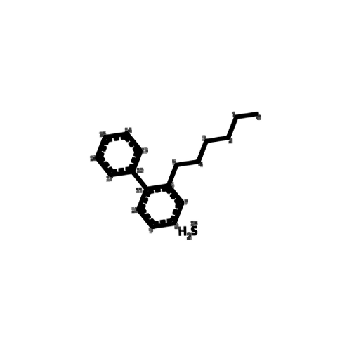 CCCCCCc1ccccc1-c1ccccc1.S